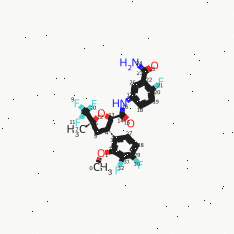 COc1c([C@@H]2C[C@@](C)(C(F)(F)F)O[C@H]2C(=O)Nc2ccc(F)c(C(N)=O)c2)ccc(F)c1F